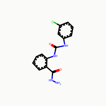 NNC(=O)c1ccccc1NC(=O)Nc1cccc(Cl)c1